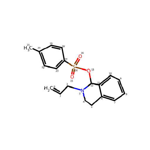 C=CCN1CCc2ccccc2C1OS(=O)(=O)c1ccc(C)cc1